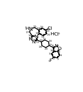 Cl.Fc1ccc2onc(C3CCC(c4nnc5n4-c4ccc(Cl)cc4CNC5)CC3)c2c1